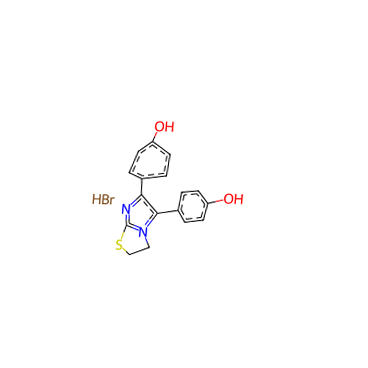 Br.Oc1ccc(-c2nc3n(c2-c2ccc(O)cc2)CCS3)cc1